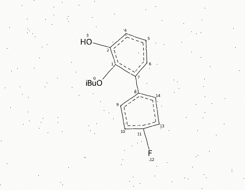 CC(C)COc1c(O)[c]ccc1-c1ccc(F)cc1